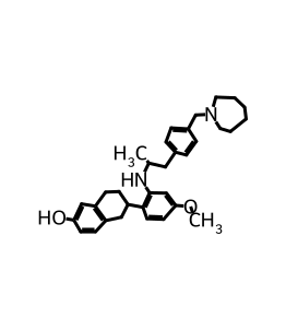 COc1ccc(C2CCc3cc(O)ccc3C2)c(NC(C)Cc2ccc(CN3CCCCCC3)cc2)c1